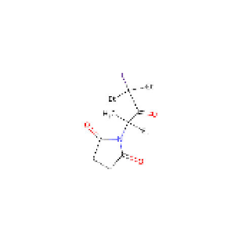 CCC(I)(CC)C(=O)C(C)(CC)N1C(=O)CCC1=O